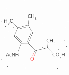 CC(=O)Nc1cc(C)c(C)cc1C(=O)C(C)C(=O)O